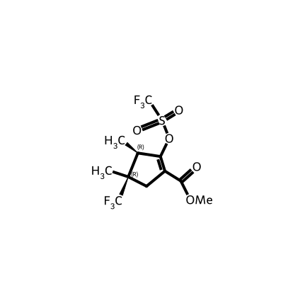 COC(=O)C1=C(OS(=O)(=O)C(F)(F)F)[C@H](C)[C@](C)(C(F)(F)F)C1